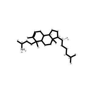 CC1=CCC2C(CCC3(C)C2CCC3[C@H](C)CCCC(C)C)C1(C)CCC(C)N